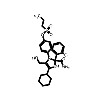 NC(=O)C1(c2ccccc2Cl)NC(C2CCCCC2)=C(CO)N1c1ccc(OS(=O)(=O)CCC(F)(F)F)cc1